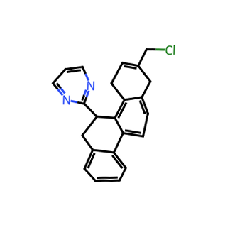 ClCC1=CCc2c(ccc3c2C(c2ncccn2)Cc2ccccc2-3)C1